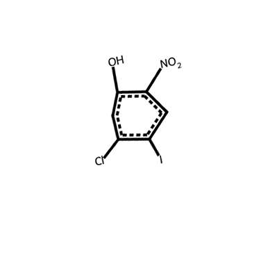 O=[N+]([O-])c1cc(I)c(Cl)cc1O